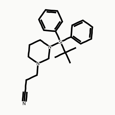 CC(C)(C)[Si](c1ccccc1)(c1ccccc1)N1CCCN(CCC#N)C1